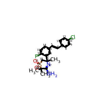 CC1(c2cc(C=Cc3ccc(Cl)cc3)ccc2F)CS(=O)(=O)C(C)(C)C(N)=N1